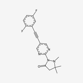 CN1N(c2ncc(C#Cc3cc(F)ccc3F)cn2)C(=O)CC1(C)C